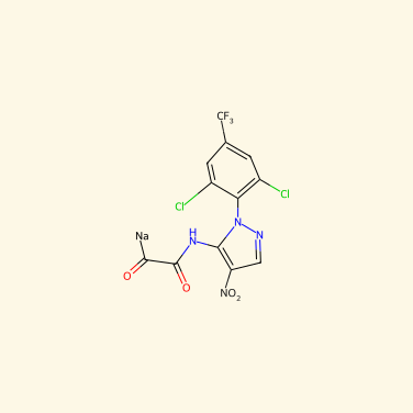 O=[C]([Na])C(=O)Nc1c([N+](=O)[O-])cnn1-c1c(Cl)cc(C(F)(F)F)cc1Cl